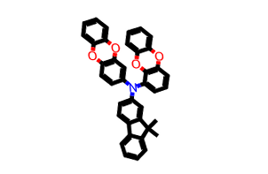 CC1(C)c2ccccc2-c2ccc(N(c3ccc4c(c3)Oc3ccccc3O4)c3cccc4c3Oc3ccccc3O4)cc21